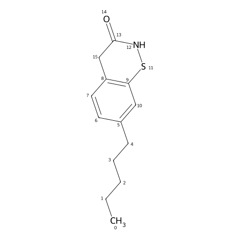 CCCCCc1ccc2c(c1)SNC(=O)C2